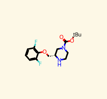 CC(C)(C)OC(=O)N1CCN[C@H](COc2c(F)cccc2F)C1